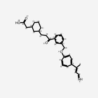 C/C(=C\C=N)C1=CC=C(OCc2cccc(C(=O)CCC3CCCC(CC(=O)O)C3)c2)C=C=C1